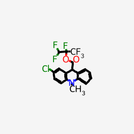 CN1c2ccccc2C(C(=O)OC(F)(C(F)F)C(F)(F)F)c2cc(Cl)ccc21